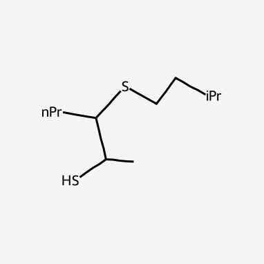 CCCC(SCCC(C)C)C(C)S